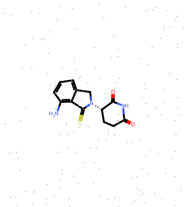 Nc1cccc2c1C(=S)N([C@H]1CCC(=O)NC1=O)C2